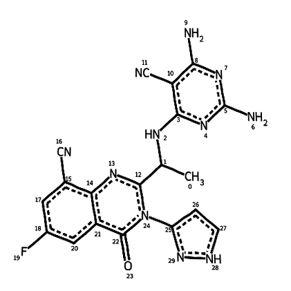 CC(Nc1nc(N)nc(N)c1C#N)c1nc2c(C#N)cc(F)cc2c(=O)n1-c1cc[nH]n1